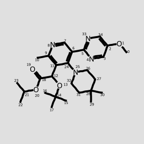 COc1cnc(-c2cnc(C)c(C(OC(C)(C)C)C(=O)OC(C)C)c2N2CCC(C)(C)CC2)nc1